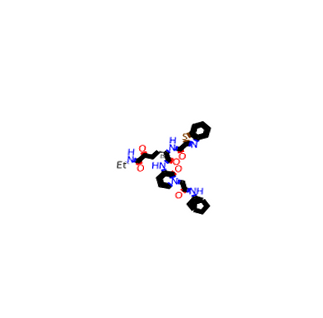 CCNC(=O)C(=O)CC[C@H](NC(=O)c1nc2ccccc2s1)C(=O)Nc1cccn(CC(=O)NC2CC3CCC2C3)c1=O